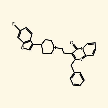 O=c1c(CCN2CCC(c3coc4cc(F)ccc34)CC2)c(Cc2ccccc2)nc2ccccn12